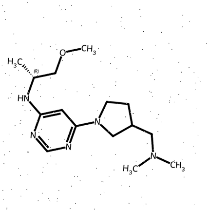 COC[C@@H](C)Nc1cc(N2CCC(CN(C)C)C2)ncn1